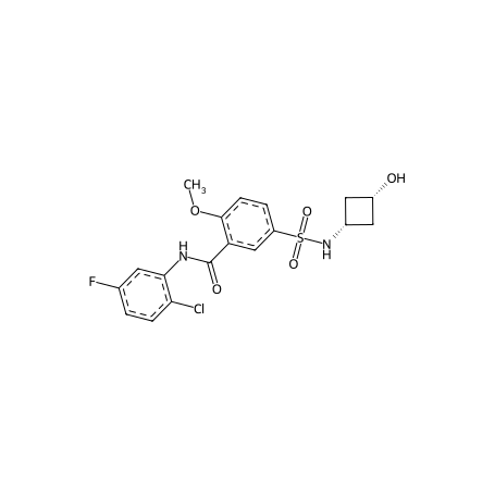 COc1ccc(S(=O)(=O)N[C@H]2C[C@@H](O)C2)cc1C(=O)Nc1cc(F)ccc1Cl